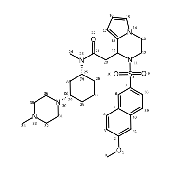 COc1ccc2cc(S(=O)(=O)N3CCn4cccc4C3CC(=O)N(C)[C@@H]3CCC[C@H](N4CCN(C)CC4)C3)ccc2c1